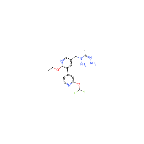 CCOc1ncc(CN(N)/C(C)=N\N)cc1-c1ccnc(OC(F)F)c1